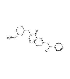 NCC1CCCC(Cn2cnc3ccc(CC(Cl)c4ccccc4)cc3c2=O)C1